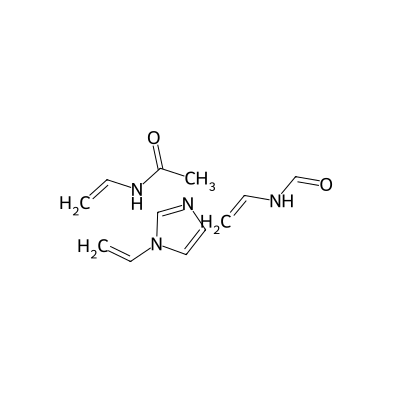 C=CNC(C)=O.C=CNC=O.C=Cn1ccnc1